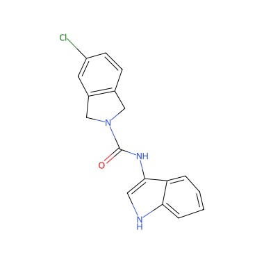 O=C(Nc1c[nH]c2ccccc12)N1Cc2ccc(Cl)cc2C1